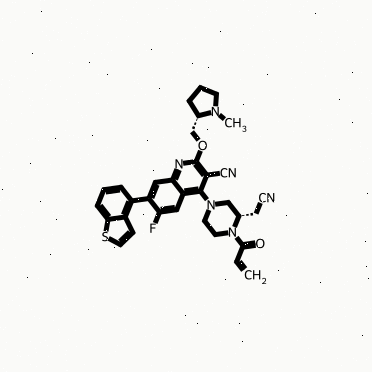 C=CC(=O)N1CCN(c2c(C#N)c(OC[C@@H]3CCCN3C)nc3cc(-c4cccc5sccc45)c(F)cc23)C[C@@H]1CC#N